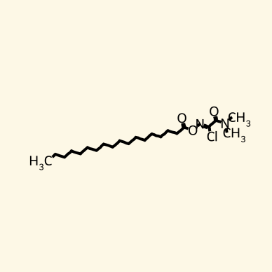 CCCCCCCCCCCCCCCCCC(=O)O/N=C(\Cl)C(=O)N(C)C